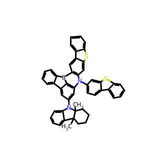 CC12CCCCC1(C)N(c1cc3c4c(c1)N(c1ccc5c(c1)sc1ccccc15)c1cc5sc6ccccc6c5cc1B4c1ccccc1-3)c1ccccc12